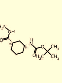 CC(C)(C)OC(=O)N[C@@H]1CCC[C@H](C(=O)NN)C1